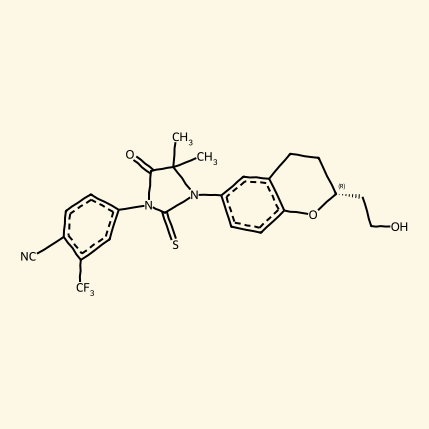 CC1(C)C(=O)N(c2ccc(C#N)c(C(F)(F)F)c2)C(=S)N1c1ccc2c(c1)CC[C@H](CCO)O2